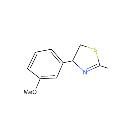 COc1cccc(C2CSC(C)=N2)c1